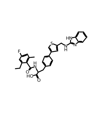 CCc1cc(F)cc(C)c1C(=O)NC(Cc1ccc(-c2csc(CNc3nc4ccccc4[nH]3)c2)cc1)C(=O)O